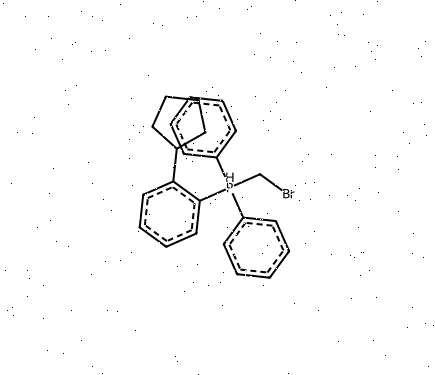 BrC[PH](c1ccccc1)(c1ccccc1)c1ccccc1C1CCCC1